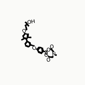 Cc1cc(OCCC(C)(C)O)cc(C)c1-c1cccc(COc2ccc(B3OC(=O)CN(C)CC(=O)O3)cc2)c1